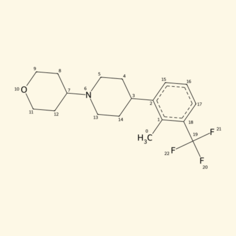 Cc1c(C2CCN(C3CCOCC3)CC2)cccc1C(F)(F)F